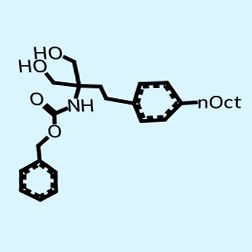 CCCCCCCCc1ccc(CCC(CO)(CO)NC(=O)OCc2ccccc2)cc1